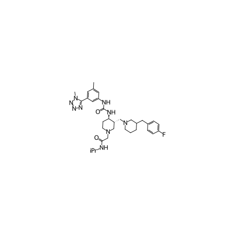 Cc1cc(NC(=O)N[C@@H]2CCN(CC(=O)NC(C)C)C[C@H]2CN2CCCC(Cc3ccc(F)cc3)C2)cc(-c2nnnn2C)c1